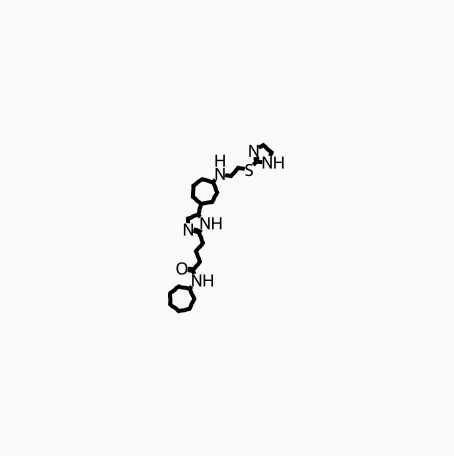 O=C(CCCC1=NCC(C2CCCC(NCCSC3=NCCN3)CC2)N1)NC1CCCCCC1